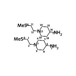 CSCCN1CCC(N)CC1.CSCCN1CCC(N)CC1